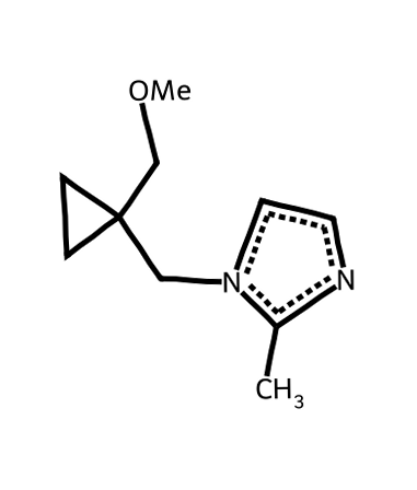 COCC1(Cn2ccnc2C)CC1